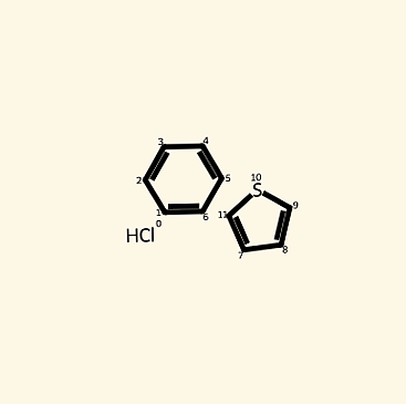 Cl.c1ccccc1.c1ccsc1